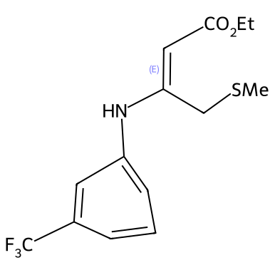 CCOC(=O)/C=C(\CSC)Nc1cccc(C(F)(F)F)c1